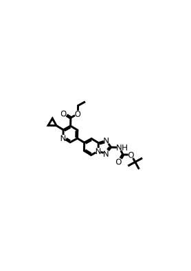 CCOC(=O)c1cc(-c2ccn3nc(NC(=O)OC(C)(C)C)nc3c2)cnc1C1CC1